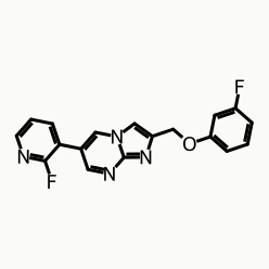 Fc1cccc(OCc2cn3cc(-c4cccnc4F)cnc3n2)c1